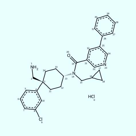 Cl.NC[C@]1(c2cccc(Cl)c2)CC[C@@H](N(CC2CC2)C(=O)c2cncc(-c3ccccc3)c2)CC1